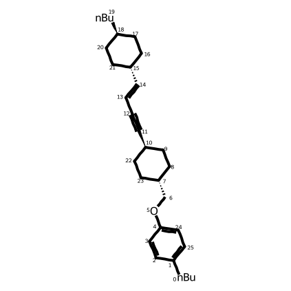 CCCCc1ccc(OC[C@H]2CC[C@H](C#CC=C[C@H]3CC[C@H](CCCC)CC3)CC2)cc1